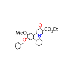 CCOC(=O)C1=CN2C(CC1=O)c1cc(OC)c(OCc3ccccc3)cc1C1CCCCC12